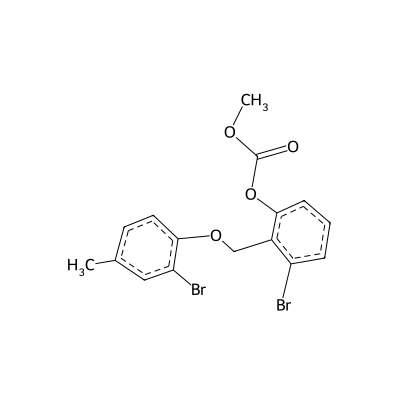 COC(=O)Oc1cccc(Br)c1COc1ccc(C)cc1Br